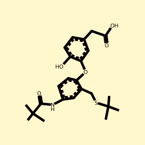 CC(C)(C)SCc1cc(NC(=O)C(C)(C)C)ccc1Oc1cc(CC(=O)O)ccc1O